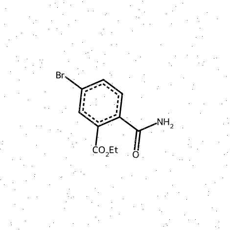 CCOC(=O)c1cc(Br)ccc1C(N)=O